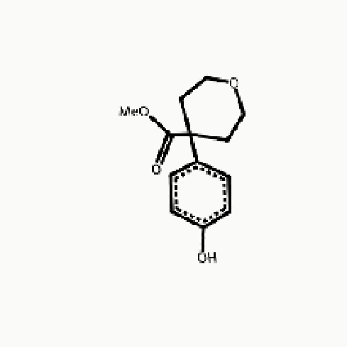 COC(=O)C1(c2ccc(O)cc2)CCOCC1